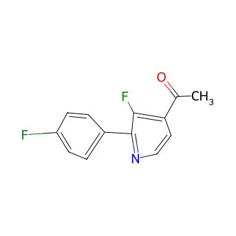 CC(=O)c1ccnc(-c2ccc(F)cc2)c1F